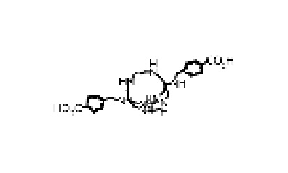 O=C(O)c1ccc(CNC23CNCCNCC(NCc4ccc(C(=O)O)cc4)(CNCCNC2)CNCCNC3)cc1